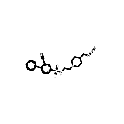 N#Cc1cc(S(=O)(=O)NCCN2CCC(CN=[N+]=[N-])CC2)ccc1-c1ccccc1